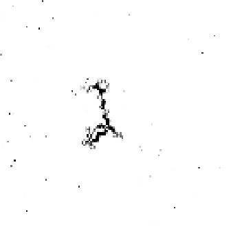 C=C(C)C(=O)OCCOCC[N+](CC)(CC)CCCS(=O)(=O)[O-]